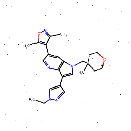 Cc1noc(C)c1-c1cnc2c(-c3cnn(CC(F)(F)F)c3)cn(CC3(C)CCOCC3)c2c1